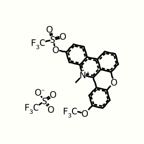 C[n+]1c2c3c(cccc3c3ccc(OS(=O)(=O)C(F)(F)F)cc31)Oc1ccc(OC(F)(F)F)cc1-2.O=S(=O)([O-])C(F)(F)F